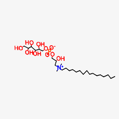 CCCCCCCCCCCCCCCC[N+](C)(C)CC(O)COP(=O)([O-])OCC(O)C(O)C(O)C(O)CO